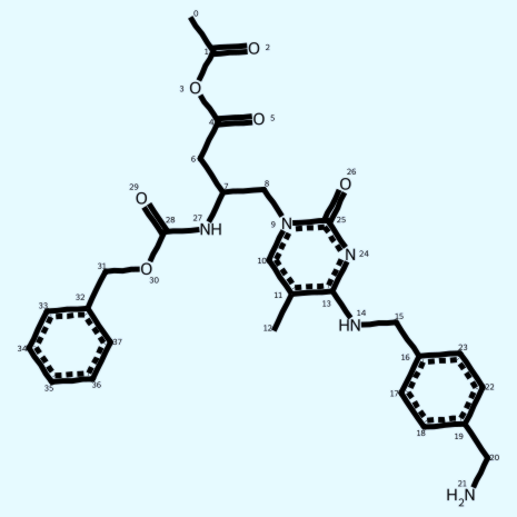 CC(=O)OC(=O)CC(Cn1cc(C)c(NCc2ccc(CN)cc2)nc1=O)NC(=O)OCc1ccccc1